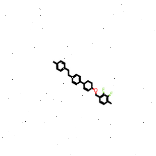 Cc1ccc(CCc2ccc(C3C=CC(OCc4ccc(C)c(F)c4F)CC3)cc2)cc1